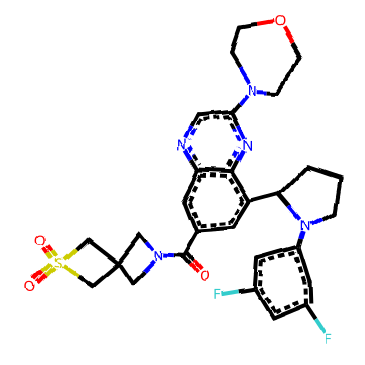 O=C(c1cc(C2CCCN2c2cc(F)cc(F)c2)c2nc(N3CCOCC3)cnc2c1)N1CC2(C1)CS(=O)(=O)C2